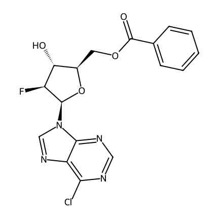 O=C(OC[C@H]1O[C@@H](n2cnc3c(Cl)ncnc32)[C@@H](F)[C@@H]1O)c1ccccc1